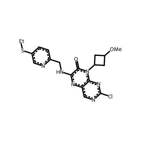 CCSc1ccc(CNc2nc3cnc(Cl)nc3n(C3CC(OC)C3)c2=O)nc1